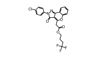 O=C(Cc1oc2ccccc2c2nn(-c3ccc(Cl)cc3)c(=O)c1-2)OCCCC(F)(F)F